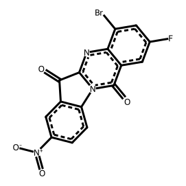 O=C1c2cc([N+](=O)[O-])ccc2-n2c1nc1c(Br)cc(F)cc1c2=O